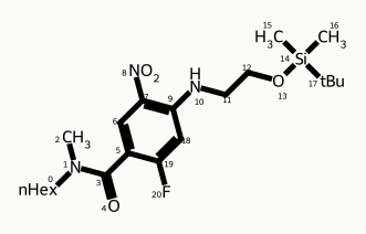 CCCCCCN(C)C(=O)c1cc([N+](=O)[O-])c(NCCO[Si](C)(C)C(C)(C)C)cc1F